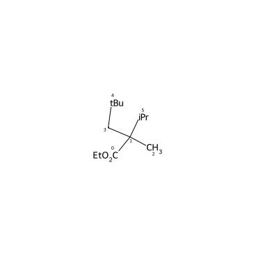 CCOC(=O)C(C)(CC(C)(C)C)C(C)C